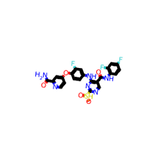 NC(=O)c1cc(Oc2ccc(Nc3nc([SH](=O)=O)ncc3C(=O)Nc3ccc(F)cc3F)cc2F)ccn1